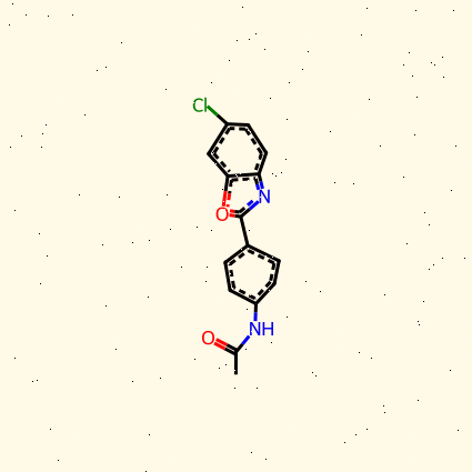 CC(=O)Nc1ccc(-c2nc3ccc(Cl)cc3o2)cc1